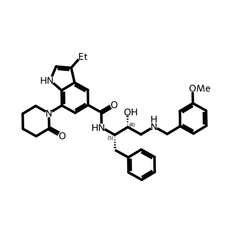 CCc1c[nH]c2c(N3CCCCC3=O)cc(C(=O)N[C@@H](Cc3ccccc3)[C@H](O)CNCc3cccc(OC)c3)cc12